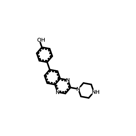 Oc1ccc(-c2ccc3ncc(N4CCNCC4)nc3c2)cc1